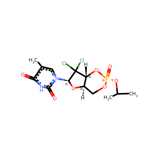 Cc1cn([C@@H]2O[C@@H]3CO[P@@](=O)(OC(C)C)O[C@H]3C2(Cl)Cl)c(=O)[nH]c1=O